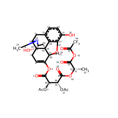 CC(=O)O[C@@H](C(=O)OC1=CC[C@@]2(O)C3Cc4ccc(O)c5c4[C@@]2(CCN3C)[C@H]1O5)[C@@H](OC(C)=O)C(=O)O[C@@H](C)C(=O)OC(=O)C(F)(F)F